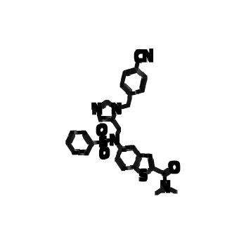 CN(C)C(=O)c1cc2cc(N(Cc3cncn3Cc3ccc(C#N)cc3)S(=O)(=O)c3ccccc3)ccc2s1